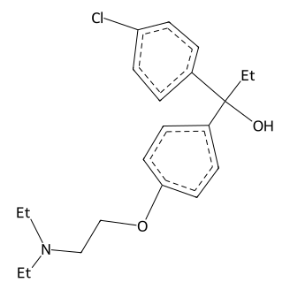 CCN(CC)CCOc1ccc(C(O)(CC)c2ccc(Cl)cc2)cc1